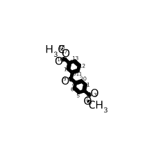 COC(=O)c1ccc(C(=O)c2cccc(C(=O)OC)c2)cc1